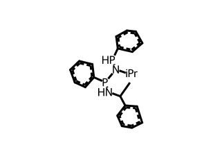 CC(NP(c1ccccc1)N(Pc1ccccc1)C(C)C)c1ccccc1